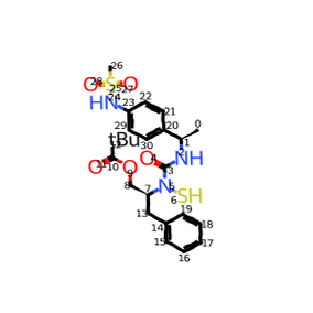 C[C@@H](NC(=O)N(S)[C@H](COC(=O)C(C)(C)C)Cc1ccccc1)c1ccc(NS(C)(=O)=O)cc1